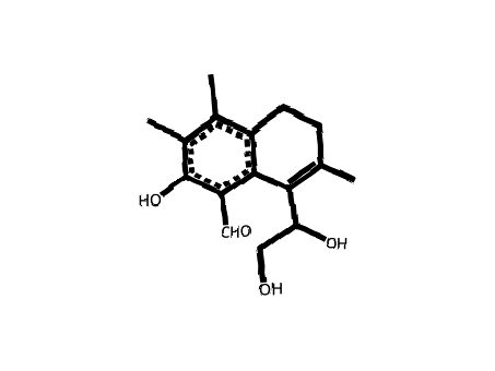 CC1=C(C(O)CO)c2c(C=O)c(O)c(C)c(C)c2CC1